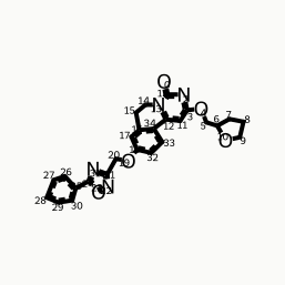 O=c1nc(OCC2CCCO2)cc2n1CCc1cc(OCc3noc(-c4ccccc4)n3)ccc1-2